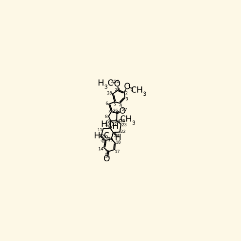 COc1ccc(C=C2C[C@H]3[C@@H]4CCC5=CC(=O)C=C[C@]5(C)[C@H]4CC[C@]3(C)C2=O)cc1OC